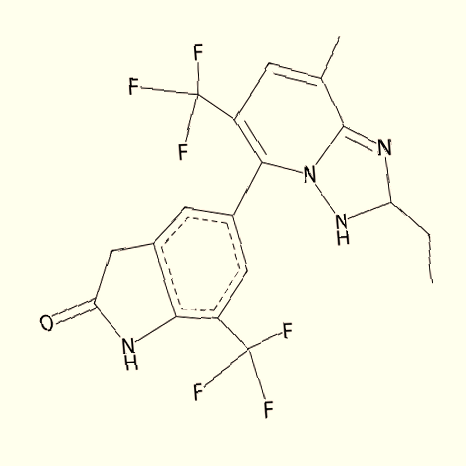 CCC1N=C2C(C)=CC(C(F)(F)F)=C(c3cc4c(c(C(F)(F)F)c3)NC(=O)C4)N2N1